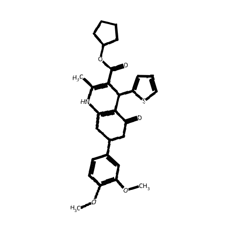 COc1ccc(C2CC(=O)C3=C(C2)NC(C)=C(C(=O)OC2CCCC2)C3c2cccs2)cc1OC